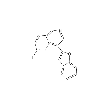 Fc1ccc2cncc(-c3cc4ccccc4o3)c2c1